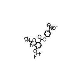 O=C(Oc1ccc([N+](=O)[O-])cc1)c1ccc(OC(F)F)c2nc(N3CCC3)oc12